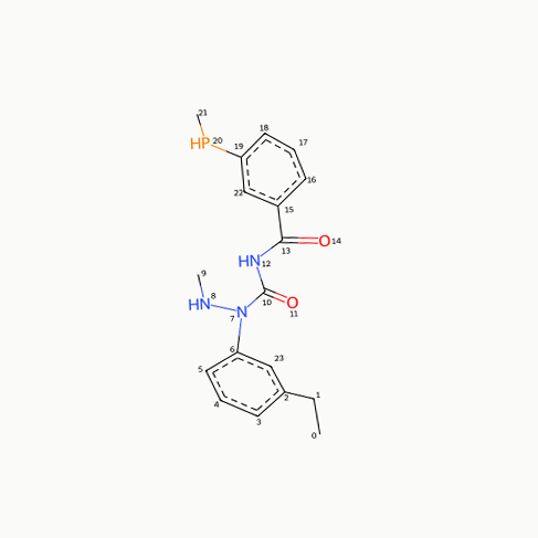 CCc1cccc(N(NC)C(=O)NC(=O)c2cccc(PC)c2)c1